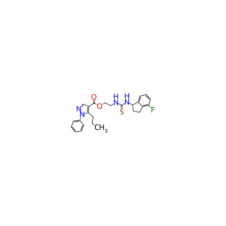 CCCc1c(C(=O)OCCNC(=S)NC2CCc3c(F)cccc32)cnn1-c1ccccc1